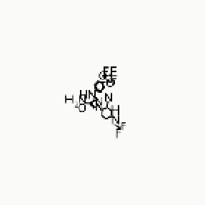 N#CC1CC(NCC(F)F)CCC1n1cc(C(N)=O)c(Nc2ccc(S(=O)(=O)C(F)(F)F)cc2)n1